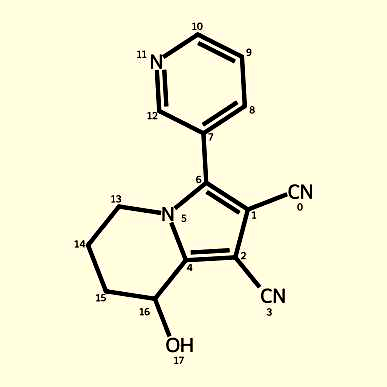 N#Cc1c(C#N)c2n(c1-c1cccnc1)CCCC2O